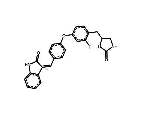 O=C1NCC(Cc2ccc(Oc3ccc(/C=C4\C(=O)Nc5ccccc54)cc3)cc2F)O1